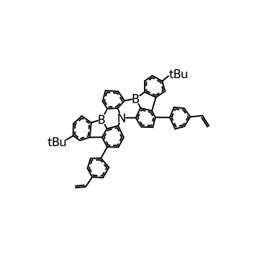 C=Cc1ccc(-c2ccc3c4c2-c2cc(C(C)(C)C)ccc2B4c2cccc4c2N3c2ccc(-c3ccc(C=C)cc3)c3c2B4c2ccc(C(C)(C)C)cc2-3)cc1